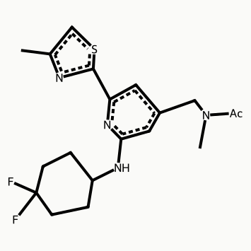 CC(=O)N(C)Cc1cc(NC2CCC(F)(F)CC2)nc(-c2nc(C)cs2)c1